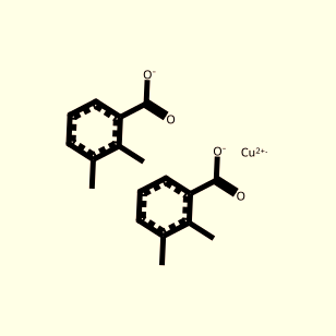 Cc1cccc(C(=O)[O-])c1C.Cc1cccc(C(=O)[O-])c1C.[Cu+2]